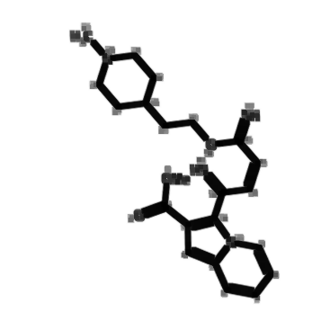 COC(=O)c1cc2ccccn2c1C(=N)/C=C\C(=N)OCCC1CCN(C)CC1